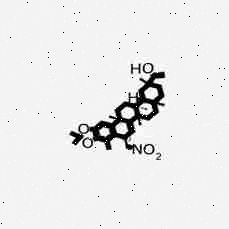 C=C(O)[C@]1(C)CC[C@]2(C)CC[C@]3(C)C4=C[C@@H](C[N+](=O)[O-])c5c(cc6c(c5C)OC(C)(C)O6)[C@]4(C)CC[C@@]3(C)[C@@H]2C1